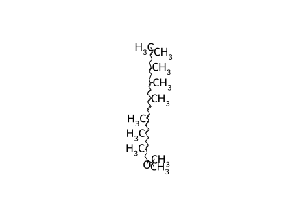 CC(C)=CCC/C(C)=C/CC/C(C)=C/C=C/C(C)=C/C=C/C=C(C)/C=C/C=C(\C)CC/C=C(\C)CCC1OC1(C)C